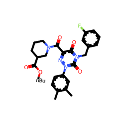 CCCCOC(=O)C1CCCN(C(=O)c2nn(-c3ccc(C)c(C)c3)c(=O)n(Cc3cccc(F)c3)c2=O)C1